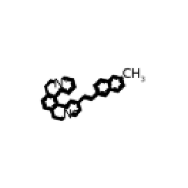 Cc1ccc2cc(/C=C/c3cc[n+]4c(c3)-c3c(ccc5c3-c3cccc[n+]3CC5)CC4)ccc2c1